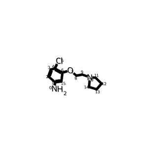 Nc1ccc(Cl)c(OCCN2CCCC2)c1